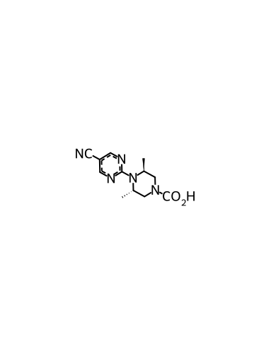 C[C@H]1CN(C(=O)O)C[C@H](C)N1c1ncc(C#N)cn1